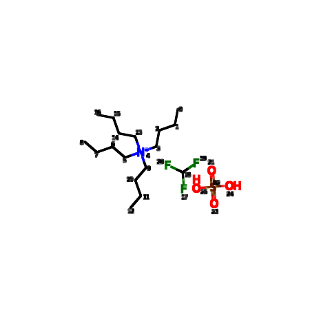 CCCC[N+](CCCC)(CCCC)CCCC.FC(F)F.O=S(=O)(O)O